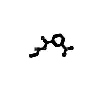 O=CNOC(=O)c1cccc([N+](=O)[O-])c1